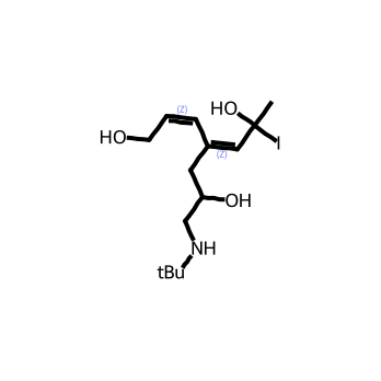 CC(O)(I)/C=C(\C=C/CO)CC(O)CNC(C)(C)C